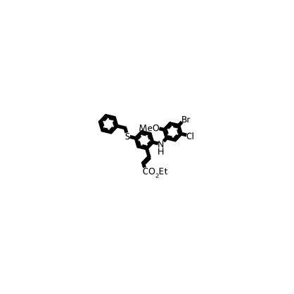 CCOC(=O)/C=C/c1cc(SCc2ccccc2)ccc1Nc1cc(Cl)c(Br)cc1OC